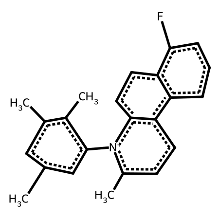 Cc1cc(C)c(C)c(-[n+]2c(C)ccc3c4cccc(F)c4ccc32)c1